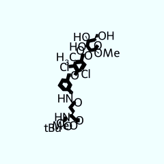 COC(=O)[C@H](CCC(=O)NCc1cccc(COc2c(Cl)cc(C(=O)O[C@H]3[C@@H](OC)O[C@H](CO)[C@@H](O)[C@@H]3O)c(C)c2Cl)c1)NC(=O)OC(C)(C)C